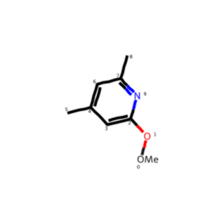 COOc1cc(C)cc(C)n1